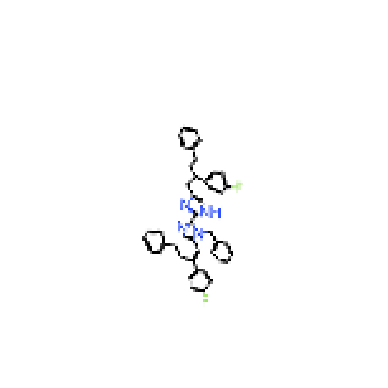 Fc1ccc(C(=Cc2cnc(-c3nc(CC(CCc4ccccc4)c4ccc(F)cc4)c[nH]3)n2Cc2ccccc2)CCc2ccccc2)cc1